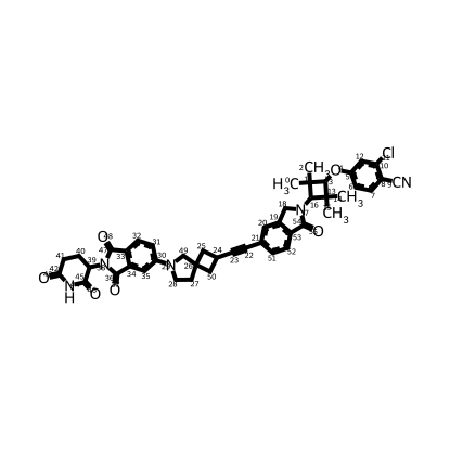 CC1(C)C(Oc2ccc(C#N)c(Cl)c2)C(C)(C)C1N1Cc2cc(C#CC3CC4(CCN(c5ccc6c(c5)C(=O)N(C5CCC(=O)NC5=O)C6=O)C4)C3)ccc2C1=O